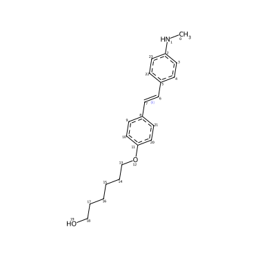 CNc1ccc(/C=C/c2ccc(OCCCCCCO)cc2)cc1